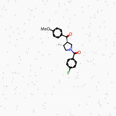 COc1ccc(C(=O)[C@H]2CN(C(=O)c3ccc(F)cc3)C[C@@H]2C)cc1